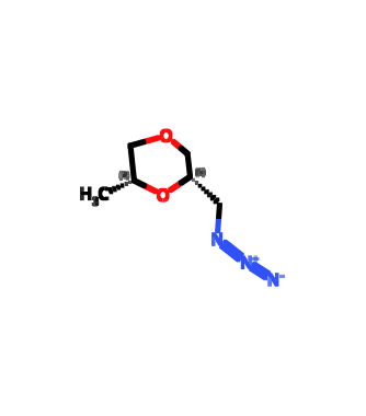 C[C@@H]1COC[C@H](CN=[N+]=[N-])O1